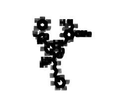 COc1cc(CNC(=O)[C@@H]2CN(C3=N[C@@H](C)[C@H](c4ccccc4)O3)CCN2C(=O)C(CCCCN2CCCCC2)NC(C)C)ccc1CN